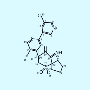 C[C@@]1(c2cc(-c3cncc(Cl)c3)ccc2F)CS(=O)(=O)C2(CCCC2)C(=N)N1